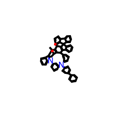 CC1C2=C3C(C)c4c(c5ccccc5n4-c4cccc(c4)N(c4ccc(-c5ccccc5)cc4)c4cccc(c4)C3C3=C1C1(c4ccccc43)c3ccccc3-c3ccccc31)C2C